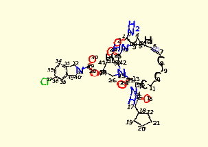 NC(=O)[C@@]12C[C@H]1/C=C\CCCCC[C@H](NC(=O)CC1CCCC1)C(=O)N1C[C@H](OC(=O)N3Cc4ccc(Cl)cc4C3)C[C@H]1C(=O)N2